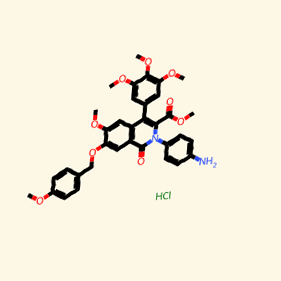 COC(=O)c1c(-c2cc(OC)c(OC)c(OC)c2)c2cc(OC)c(OCc3ccc(OC)cc3)cc2c(=O)n1-c1ccc(N)cc1.Cl